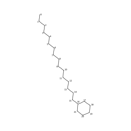 CCCCCCCCCCCCCCCCC1CCCCC1